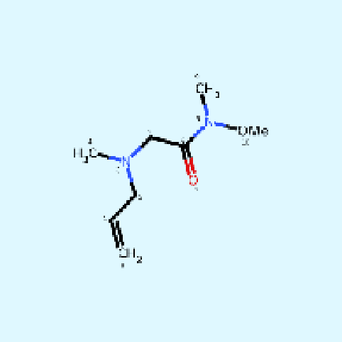 C=CCN(C)CC(=O)N(C)OC